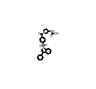 O=C(O)NC1CCN(C(=O)c2ccc(S(=O)(=O)n3cc(-c4ccccc4)c4ccccc43)cc2)C1